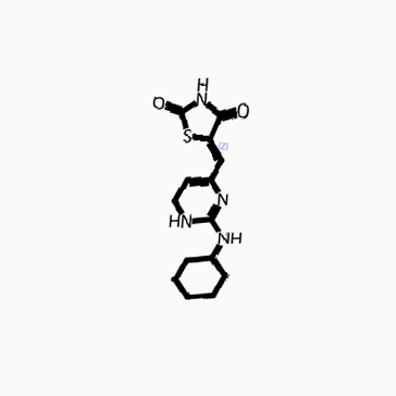 O=C1NC(=O)/C(=C/C2=CCNC(NC3CCCCC3)=N2)S1